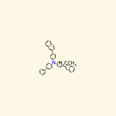 CC1(C)C(c2ccc(N(c3ccc(-c4ccccc4)cc3)c3ccc(-c4ccc5ccccc5c4)cc3)cc2)=Cc2ccccc21